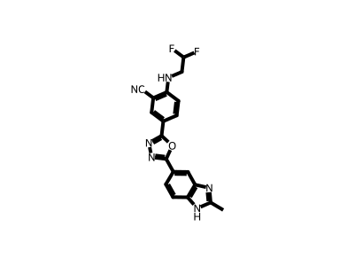 Cc1nc2cc(-c3nnc(-c4ccc(NCC(F)F)c(C#N)c4)o3)ccc2[nH]1